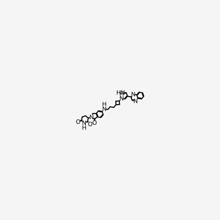 N=C/C(=C\NC1CC(CCCNc2ccc3c(c2)CN(C2CCC(=O)NC2=O)C3=O)C1)c1cnc2ccccc2n1